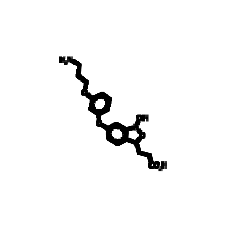 NCCCOc1cccc(Oc2ccc3c(c2)B(O)OC3CCC(=O)O)c1